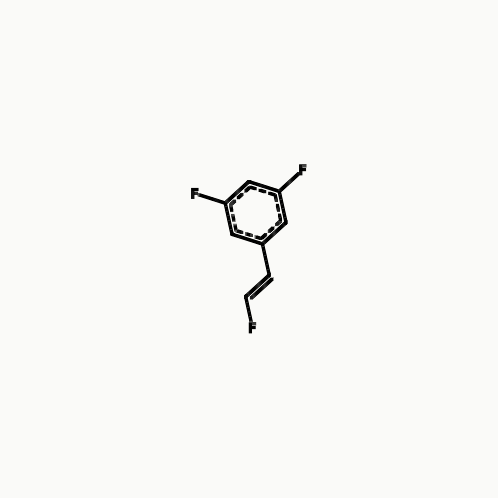 FC=Cc1cc(F)cc(F)c1